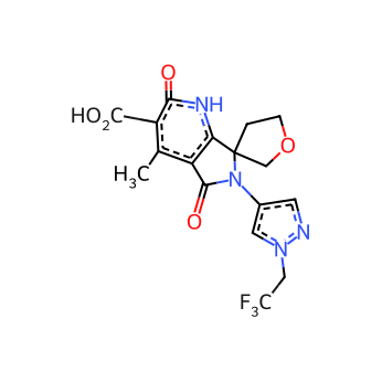 Cc1c2c([nH]c(=O)c1C(=O)O)C1(CCOC1)N(c1cnn(CC(F)(F)F)c1)C2=O